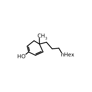 CCCCCCCCCC1(C)C=CC(O)=CC1